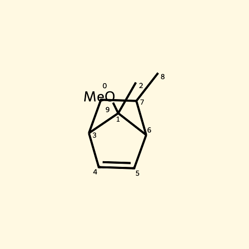 COC1(C)C2C=CC1C(C)C2